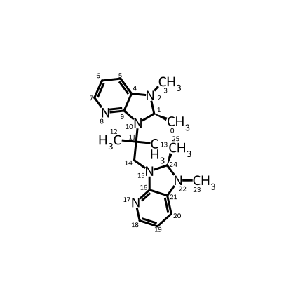 C[C@@H]1N(C)c2cccnc2N1C(C)(C)CN1c2ncccc2N(C)[C@@H]1C